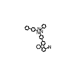 N#Cc1cccc2c1-c1ccc(-c3ccc(-c4nc(-c5ccccc5)nc(-c5ccc(-c6ccccc6)cc5)n4)cc3)cc1C21CCCCC1